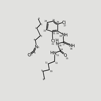 CCCCCN=C=O.CCCCCNC(=O)NC(=N)Nc1c(Cl)cccc1Cl